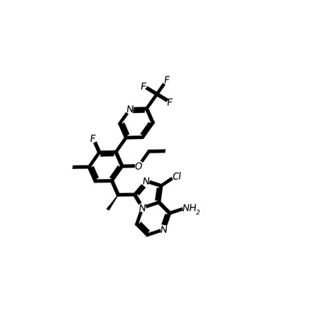 CCOc1c([C@H](C)c2nc(Cl)c3c(N)nccn23)cc(C)c(F)c1-c1ccc(C(F)(F)F)nc1